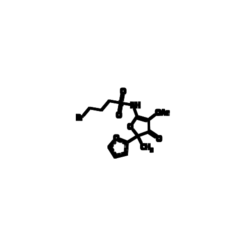 CC(=O)OC1=C(NS(=O)(=O)CCCBr)OC(C)(c2ccco2)C1=O